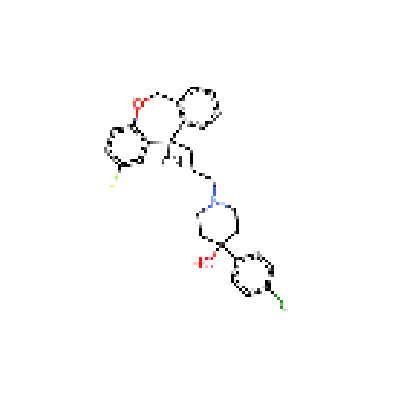 N#CC1(CCCN2CCC(O)(c3ccc(Cl)cc3)CC2)c2ccccc2COc2ccc(F)cc21